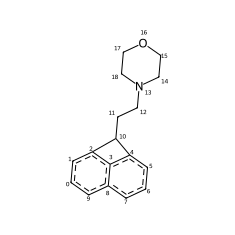 c1cc2c3c(cccc3c1)C2CCN1CCOCC1